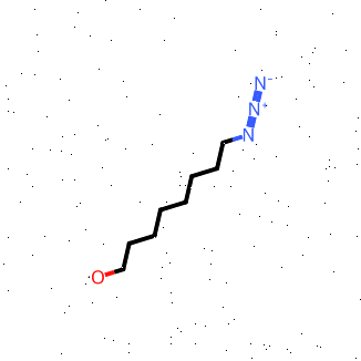 [N-]=[N+]=NCCCCCCCC[O]